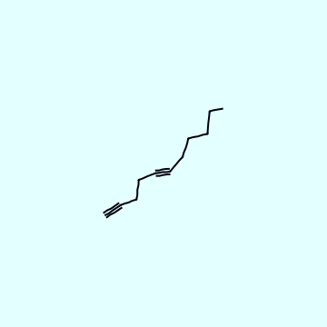 C#CCCC#CCCCCC